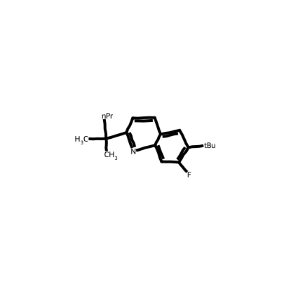 CCCC(C)(C)c1ccc2cc(C(C)(C)C)c(F)cc2n1